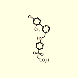 O=C(O)CS(=O)(=O)c1ccc(NCc2cccc(-c3ccc(Cl)cc3C(F)(F)F)c2)cc1